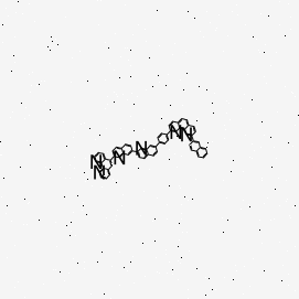 c1ccc2cc(-c3ccc4ccc5ccc(-c6ccc(-c7ccc8ccc(-c9ccc%10ccc(-c%11cc%12cccnc%12c%12ncccc%11%12)nc%10c9)nc8c7)cc6)nc5c4n3)ccc2c1